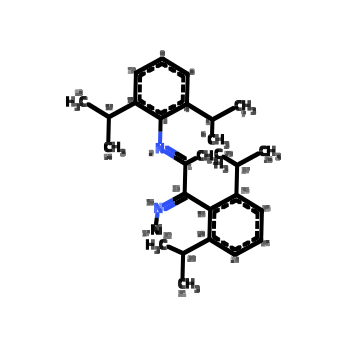 CC(=Nc1c(C(C)C)cccc1C(C)C)C(=[N][Ni])c1c(C(C)C)cccc1C(C)C